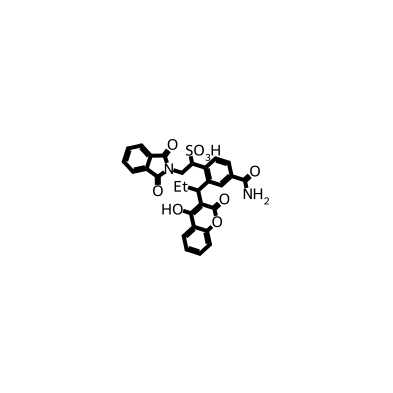 CCC(c1cc(C(N)=O)ccc1C(CN1C(=O)c2ccccc2C1=O)S(=O)(=O)O)c1c(O)c2ccccc2oc1=O